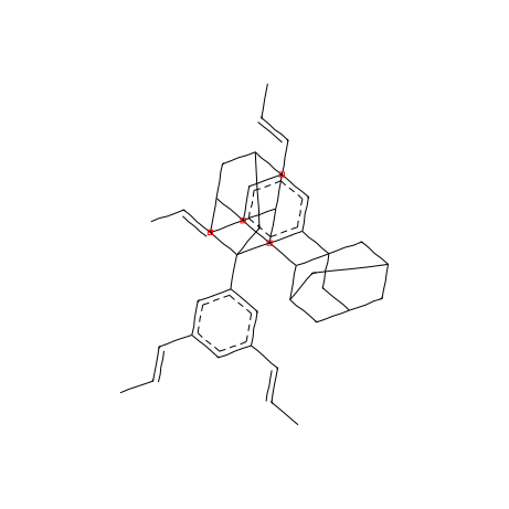 CC=Cc1cc(C=CC)cc(C23CC4CC(CC(C4)C2C2C4CC5CC(C4)CC2(c2cc(C=CC)cc(C=CC)c2)C5)C3)c1